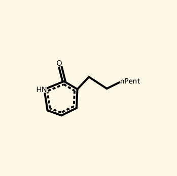 CCCCCCCc1ccc[nH]c1=O